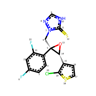 Fc1ccc([C@@]2(Cn3nc[nH]c3=S)O[C@@H]2c2ccsc2Cl)c(F)c1